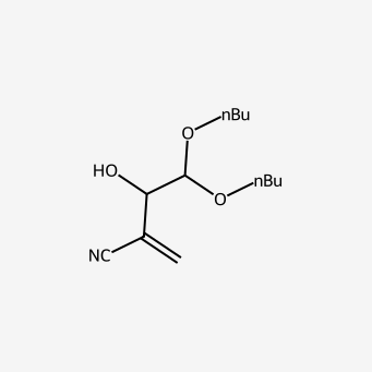 C=C(C#N)C(O)C(OCCCC)OCCCC